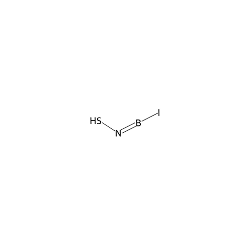 SN=BI